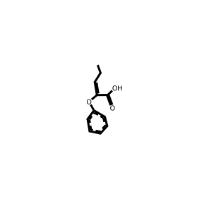 CCC=C(Oc1ccccc1)C(=O)O